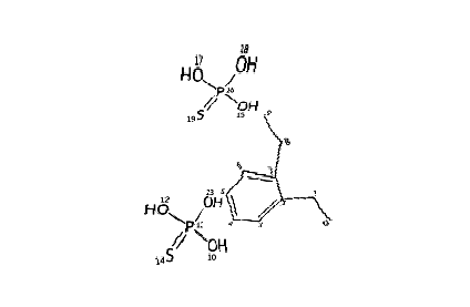 CCc1ccccc1CC.OP(O)(O)=S.OP(O)(O)=S